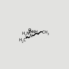 C=CCN(CCCCC)P(N)(N)=O